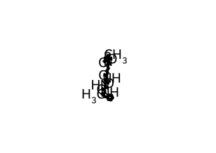 CC(Cc1ccccc1)NC(=O)CNC(=O)CNC(=O)CCCCCN1C(=O)CP(C)C1=O